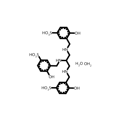 O.O.O=S(=O)(O)c1ccc(O)c(CNCC(CNCc2cc(S(=O)(=O)O)ccc2O)NCc2cc(S(=O)(=O)O)ccc2O)c1